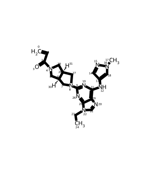 C=CC(=O)N1C[C@@H]2CN(c3nc(Nc4cnn(C)c4)c4ncn(CC)c4n3)C[C@@H]2C1